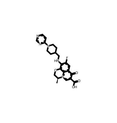 C[C@H]1COc2c(NCC3CCN(c4ccncn4)CC3)c(F)cc3c(=O)c(C(=O)O)cn1c23